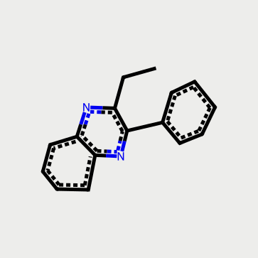 CCc1nc2ccccc2nc1-c1ccccc1